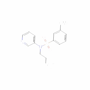 CCOC(=O)CCN(c1cccnc1)S(=O)(=O)c1cccc(OC)c1